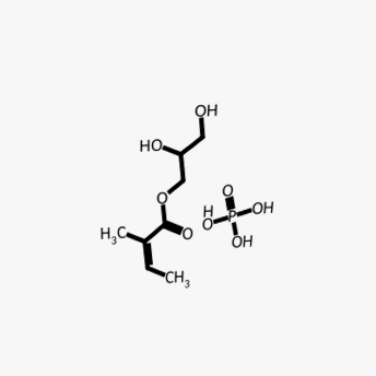 CC=C(C)C(=O)OCC(O)CO.O=P(O)(O)O